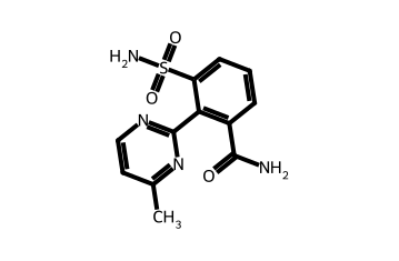 Cc1ccnc(-c2c(C(N)=O)cccc2S(N)(=O)=O)n1